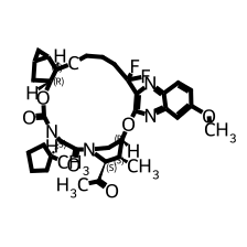 COc1ccc2nc3c(nc2c1)O[C@H]1CN(C(=O)[C@H](C2(C)CCCC2)NC(=O)O[C@@H]2CC4CC4[C@H]2CCCCC3(F)F)[C@H](C(C)=O)[C@@H]1C